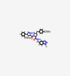 COc1ccc(CC2CC(C(=O)NCc3ccc4c(c3)nnn4C)N(C(=O)C3CC(c4ccccc4OC)CN3)C2)cc1